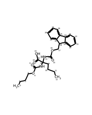 CCCCOC(=O)NC(CCCC)(NC(=O)OCC1c2ccccc2-c2ccccc21)C(=O)O